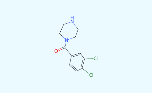 O=C(c1ccc(Cl)c(Cl)c1)N1CCNCC1